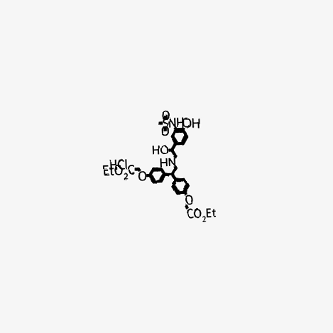 CCOC(=O)COc1ccc(C(CNCC(O)c2ccc(O)c(NS(C)(=O)=O)c2)c2ccc(OCC(=O)OCC)cc2)cc1.Cl